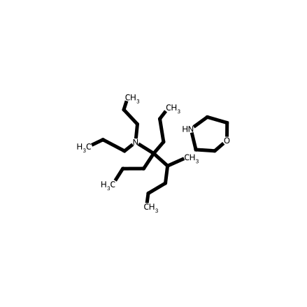 C1COCCN1.CCCC(C)C(CCC)(CCC)N(CCC)CCC